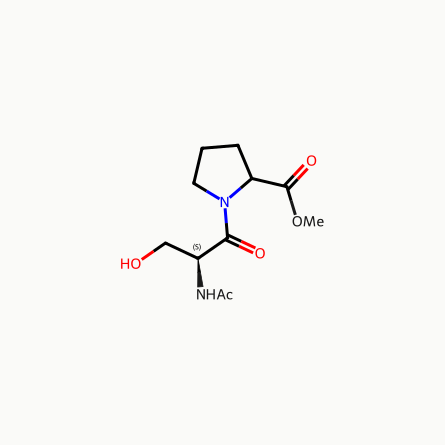 COC(=O)C1CCCN1C(=O)[C@H](CO)NC(C)=O